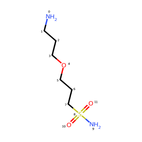 NCCCOCCCS(N)(=O)=O